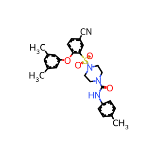 Cc1ccc(NC(=O)N2CCN(S(=O)(=O)c3cc(C#N)ccc3Oc3cc(C)cc(C)c3)CC2)cc1